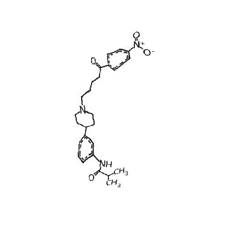 CC(C)C(=O)Nc1cccc(C2CCN(CCCCC(=O)c3ccc([N+](=O)[O-])cc3)CC2)c1